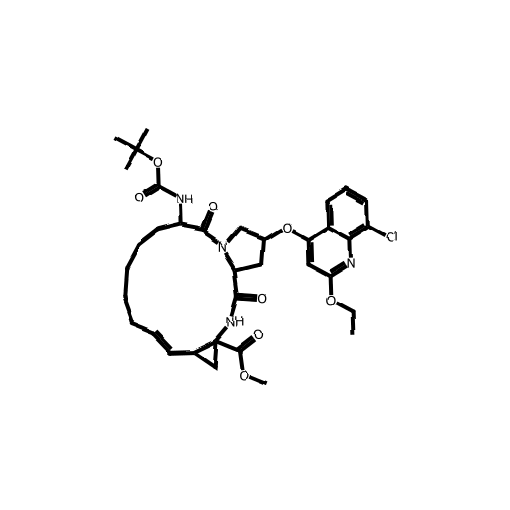 CCOc1cc(OC2CC3C(=O)NC4(C(=O)OC)CC4/C=C/CCCCCC(NC(=O)OC(C)(C)C)C(=O)N3C2)c2cccc(Cl)c2n1